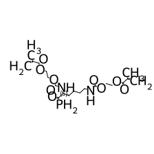 C=C(C)C(=O)OCCOC(=O)NCCCC[C@H](NC(=O)OCCOC(=O)C(=C)C)C(=O)P